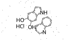 Cl.Oc1cc2cc[nH]c2cc1O.c1ccc2ncccc2c1